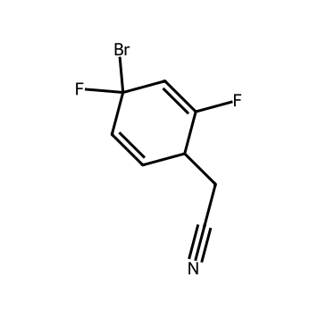 N#CCC1C=CC(F)(Br)C=C1F